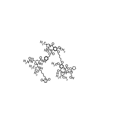 C=C1C[C@H]2C(O)N(C(=O)OCc3ccc(NC(=O)[C@H](CCCNC(N)=O)NC(=O)[C@@H](NC(=O)CCCCCN4C(=O)C=CC4=O)C(C)C)cc3)c3cc(OCCCCCOc4cc5c(cc4OC)C(O)N4CC(C)(C)C[C@H]4C(O)N5C(=O)OCC4(SSCCO)CCCC4)c(OC)cc3C(=O)N2C1